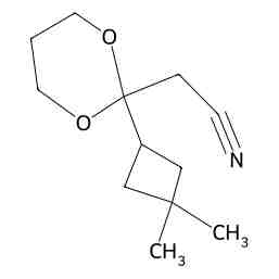 CC1(C)CC(C2(CC#N)OCCCO2)C1